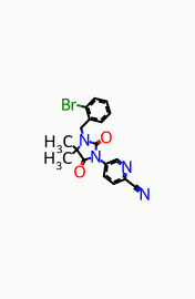 CC1(C)C(=O)N(c2ccc(C#N)nc2)C(=O)N1Cc1ccccc1Br